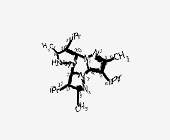 Cc1nn2c(c1C(C)C)-n1nc(C)c(C(C)C)c1N1NC(C)C(C(C)C)=C12